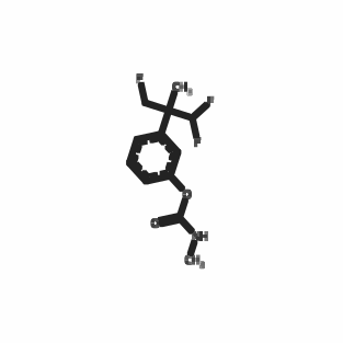 CNC(=O)Oc1cccc(C(C)(CF)C(F)F)c1